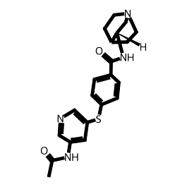 CC(=O)Nc1cncc(Sc2ccc(C(=O)N[C@H]3CN4CCC3CC4)cc2)c1